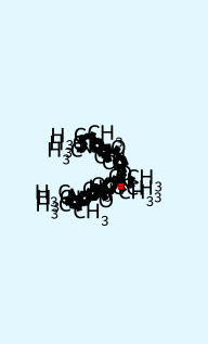 CCN1c2cc3oc(=O)c(C(=O)N4CCC(OP(OC5CCN(C(=O)c6cc7cc8c(cc7oc6=O)N(CC)C(C)(C)C=C8C)CC5)N(C(C)C)C(C)C)CC4)cc3cc2C(C)=CC1(C)C